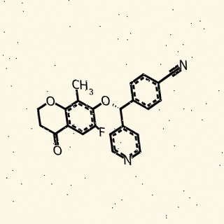 Cc1c(O[C@@H](c2ccncc2)c2ccc(C#N)cc2)c(F)cc2c1OCCC2=O